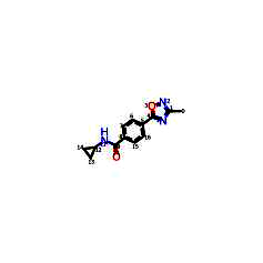 Cc1noc(-c2ccc(C(=O)NC3CC3)cc2)n1